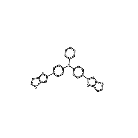 c1ccc(N(c2ccc(-c3cc4sccc4s3)cc2)c2ccc(-c3cc4sccc4s3)cc2)cc1